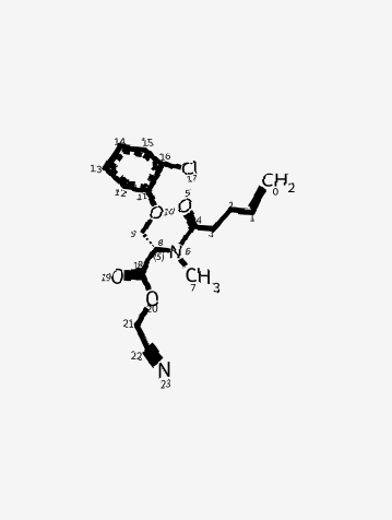 C=CCCC(=O)N(C)[C@@H](COc1ccccc1Cl)C(=O)OCC#N